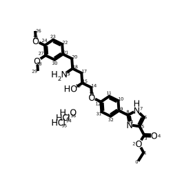 CCOC(=O)c1c[nH]c(-c2ccc(OCC(O)CC(N)Cc3ccc(OC)c(OC)c3)cc2)n1.Cl.Cl.O